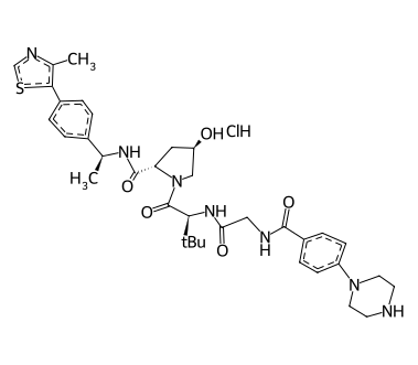 Cc1ncsc1-c1ccc([C@H](C)NC(=O)[C@@H]2C[C@@H](O)CN2C(=O)[C@@H](NC(=O)CNC(=O)c2ccc(N3CCNCC3)cc2)C(C)(C)C)cc1.Cl